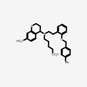 CC(C)(C)c1ccc(COc2ccccc2CCN(CCCCC(=O)O)C2CCOc3cc(C(=O)O)ccc32)cc1